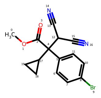 COC(=O)C(c1ccc(Br)cc1)(C(C#N)C#N)C1CC1